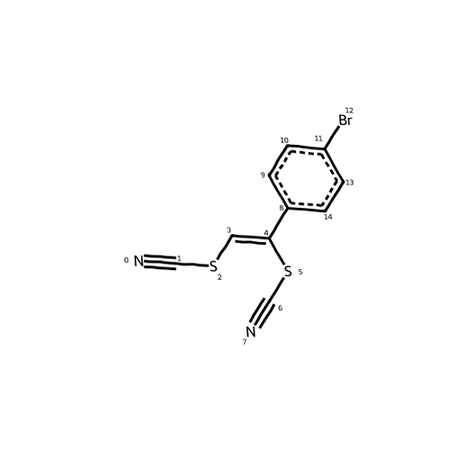 N#CSC=C(SC#N)c1ccc(Br)cc1